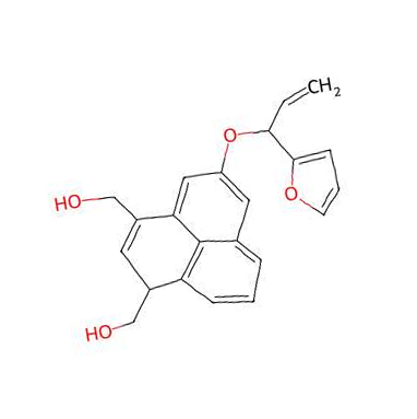 C=CC(Oc1cc2c3c(cccc3c1)C(CO)C=C2CO)c1ccco1